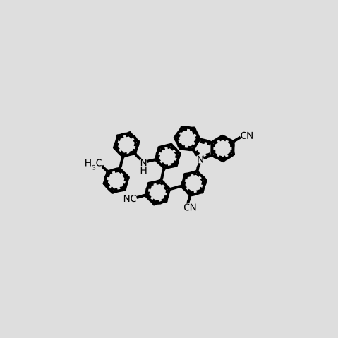 Cc1ccccc1-c1ccccc1Nc1ccccc1-c1cc(C#N)ccc1-c1cc(-n2c3ccccc3c3cc(C#N)ccc32)ccc1C#N